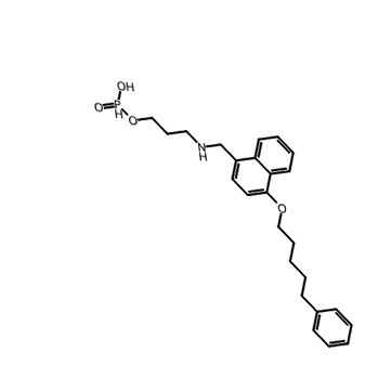 O=[PH](O)OCCCNCc1ccc(OCCCCCc2ccccc2)c2ccccc12